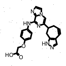 O=C(O)COc1ccc(Nc2nc(C3CC#Cc4cn[nH]c4C3)cn3ccnc23)cc1